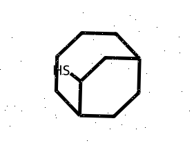 SC1CC2CCCCC1CC2